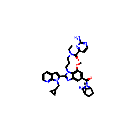 CCN(CCCn1c(-c2cc3cccnc3n2CC2CC2)nc2cc(C(=O)N3CC4CCC3[C@@H]4N)cc(OC)c21)C(=O)c1ccnc(N)n1